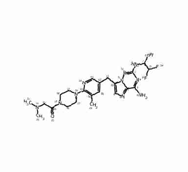 CCCC(Nc1nc(N)c2ncc(Cc3cnc(N4CCN(C(=O)CN(C)C)CC4)c(C)c3)n2n1)C(F)F